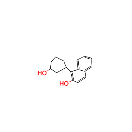 Oc1ccc2ccccc2c1C1CCCC(O)C1